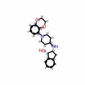 O[C@H]1c2ccccc2C[C@H]1NC1CCN(c2cccc3c2OCCO3)CC1